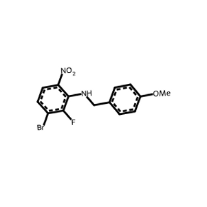 COc1ccc(CNc2c([N+](=O)[O-])ccc(Br)c2F)cc1